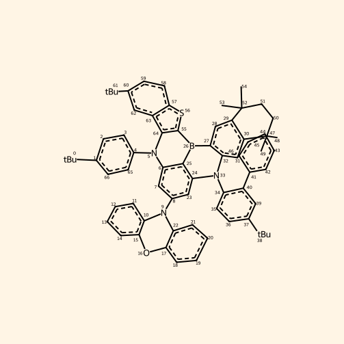 CC(C)(C)c1ccc(N2c3cc(N4c5ccccc5Oc5ccccc54)cc4c3B(c3cc5c(cc3N4c3ccc(C(C)(C)C)cc3-c3ccccc3)C(C)(C)CCC5(C)C)c3sc4ccc(C(C)(C)C)cc4c32)cc1